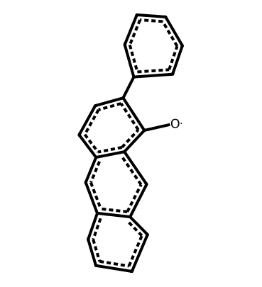 [O]c1c(-c2ccccc2)ccc2cc3ccccc3cc12